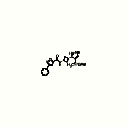 CO[C@H](C)C1=CNNN1[C@H]1C[C@@H](NC(=O)c2cc(-c3ccccc3)no2)C1